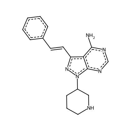 Nc1ncnc2c1c(C=Cc1ccccc1)nn2C1CCCNC1